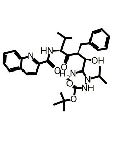 CC(C)[C@H](NC(=O)c1ccc2ccccc2n1)C(=O)[C@@H](Cc1ccccc1)[C@@H](O)C(N)N(NC(=O)OC(C)(C)C)C(C)C